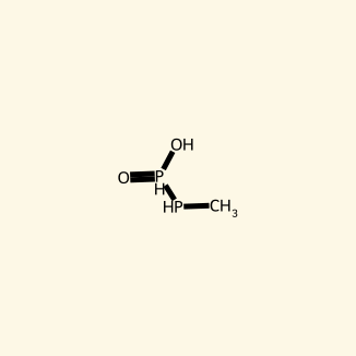 CP[PH](=O)O